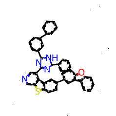 c1ccc(-c2cccc(C3=NC(c4cncc5sc6ccc(-c7ccc8oc9ccccc9c8c7)cc6c45)=NC(c4ccccc4)N3)c2)cc1